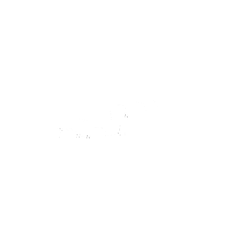 c1cn2nc(-c3c[nH]c4nc(CC5CCC5)ccc34)ccc2n1